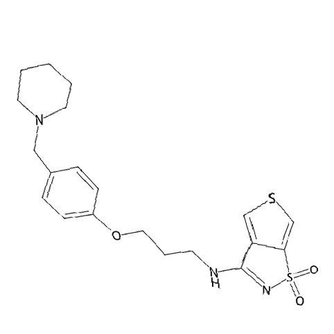 O=S1(=O)N=C(NCCCOc2ccc(CN3CCCCC3)cc2)c2cscc21